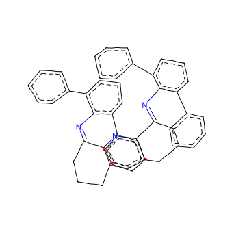 c1ccc(-c2cccc(-c3ccccc3)c2/N=C2/CCCc3cc4c(nc32)/C(=N/c2c(-c3ccccc3)cccc2-c2ccccc2)CCC4)cc1